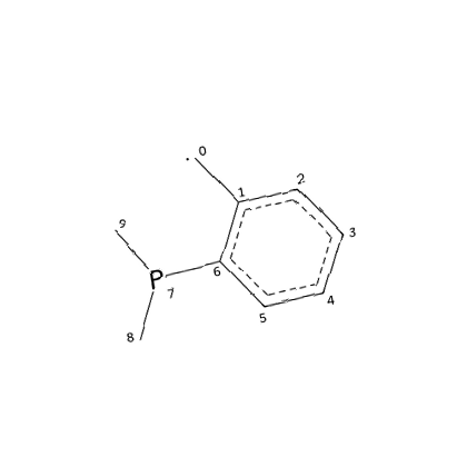 [CH2]c1ccccc1P(C)C